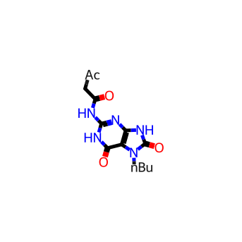 CCCCn1c(=O)[nH]c2nc(NC(=O)CC(C)=O)[nH]c(=O)c21